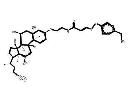 C[C@@H](CCC(=O)O)[C@H]1CC[C@@H]2[C@@H]3[C@@H](C[C@@H](O)[C@]21C)[C@]1(C)CC[C@H](OCCNC(=O)CCSSc2ccc(CC(C)(C)C)cc2)C[C@]1(O)C[C@@H]3O